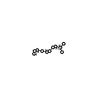 c1ccc(-c2cc(-c3ccccc3)nc(-c3ccc4ccc(-c5ccc6ccc(-c7ccc(-c8ccc9ccc%10cccnc%10c9n8)cc7)nc6c5)cc4n3)n2)cc1